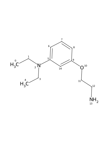 CCN(CC)c1cccc(OCCN)c1